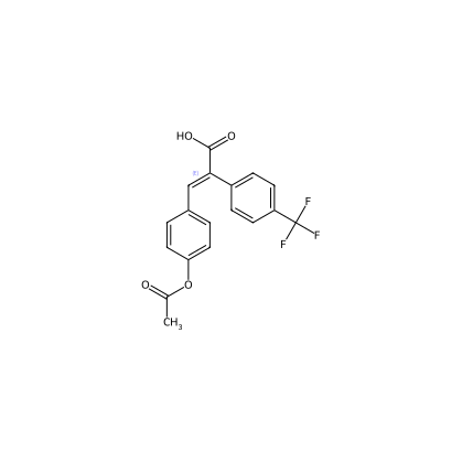 CC(=O)Oc1ccc(/C=C(/C(=O)O)c2ccc(C(F)(F)F)cc2)cc1